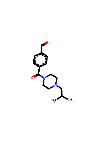 CC(C)CN1CCN(C(=O)c2ccc(C=O)cc2)CC1